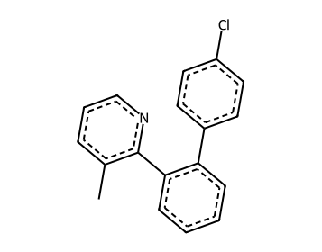 Cc1cccnc1-c1ccccc1-c1ccc(Cl)cc1